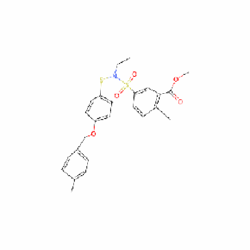 CCN(Sc1ccc(OCc2ccc(C)cc2)cc1)S(=O)(=O)c1ccc(C)c(C(=O)OC)c1